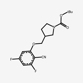 CC(C)(C)OC(=O)N1CCC(COc2cc(F)cc(F)c2C#N)C1